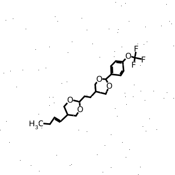 CC/C=C/C1COC(CCC2COC(c3ccc(OC(F)(F)F)cc3)OC2)OC1